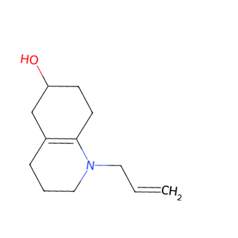 C=CCN1CCCC2=C1CCC(O)C2